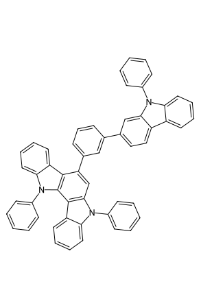 c1ccc(-n2c3ccccc3c3ccc(-c4cccc(-c5cc6c(c7ccccc7n6-c6ccccc6)c6c5c5ccccc5n6-c5ccccc5)c4)cc32)cc1